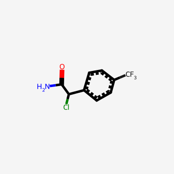 NC(=O)C(Cl)c1ccc(C(F)(F)F)cc1